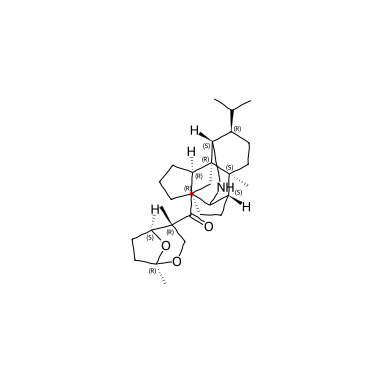 CC(C)[C@H]1CC[C@@]2(C)[C@@H]3CC[C@]45CCC[C@H]4[C@@]2(CCC(=O)[C@]2(C)CO[C@@]4(C)CC[C@@H]2O4)[C@H]1NC35